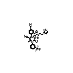 CC1=C(C#N)[C@@H](c2ccc(C#N)cc2S(=O)(=O)NCCn2ccnn2)NC(=O)N1c1cccc(C(F)(F)F)c1